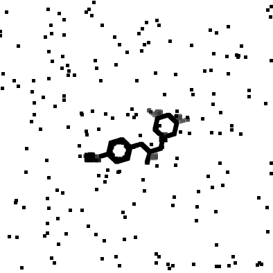 C[C@@H]1C[C@H](C)CN(C[C@@H](C)Cc2ccc(C(C)(C)C)cc2)C1